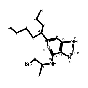 CCCCC(CCC)c1cc2[nH]nnc2c(NC(C)CBr)n1